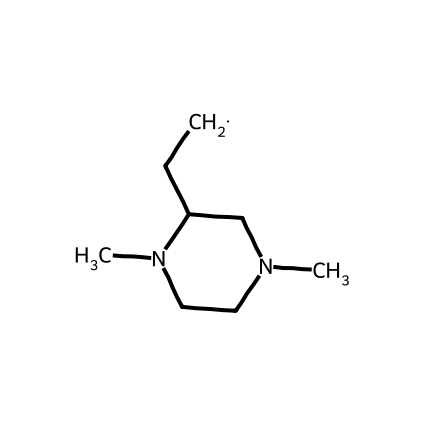 [CH2]CC1CN(C)CCN1C